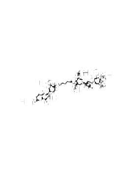 COc1ccc2c(c1)C(=O)NC(c1ccc(OCCCCCOc3c(OC)cc(-c4cc(-c5cc(OC)c(OC)c(OC)c5)no4)cc3OC)c(OC)c1)N2